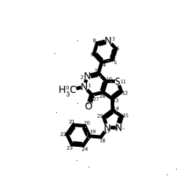 Cn1nc(-c2ccncc2)c2scc(-c3cnn(Cc4ccccc4)c3)c2c1=O